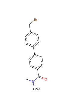 CON(C)C(=O)c1ccc(-c2ccc(CBr)cc2)cc1